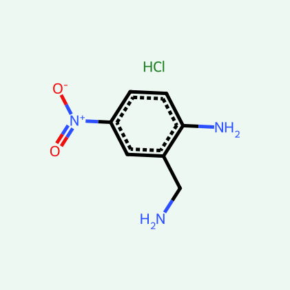 Cl.NCc1cc([N+](=O)[O-])ccc1N